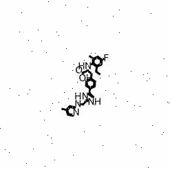 CCc1cc(F)cc(C)c1NC(Cc1ccc(-c2c[nH]c(CNc3cc(C)ccn3)n2)cc1)C(=O)O